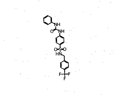 O=C(Nc1ccccc1)Nc1ccc(S(=O)(=O)NCc2ccc(C(F)(F)F)cc2)cc1